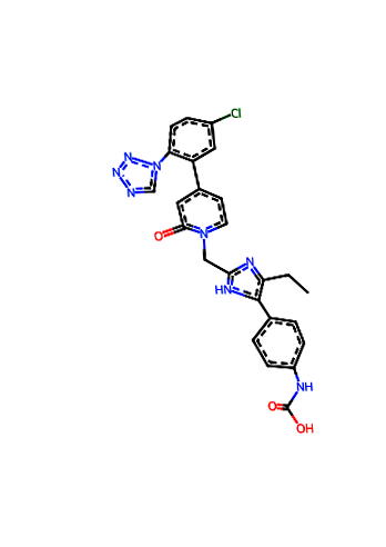 CCc1nc(Cn2ccc(-c3cc(Cl)ccc3-n3cnnn3)cc2=O)[nH]c1-c1ccc(NC(=O)O)cc1